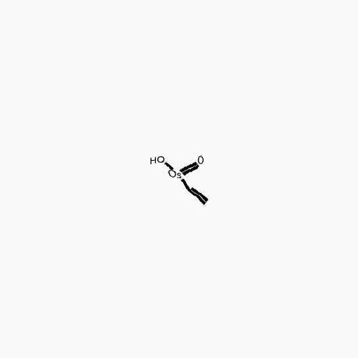 C=[CH][Os](=[O])[OH]